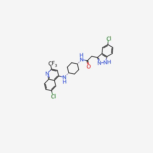 O=C(Cc1n[nH]c2ccc(Cl)cc12)N[C@H]1CC[C@@H](Nc2cc(C(F)(F)F)nc3ccc(Cl)cc23)CC1